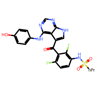 CCCS(=O)(=O)Nc1ccc(F)c(C(=O)c2c[nH]c3ncnc(Nc4ccc(O)cc4)c23)c1F